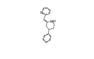 C(=C1CC(c2ccccc2)CCN1)c1ccccn1